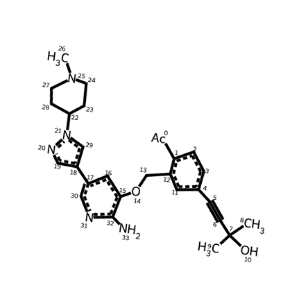 CC(=O)c1ccc(C#CC(C)(C)O)cc1COc1cc(-c2cnn(C3CCN(C)CC3)c2)cnc1N